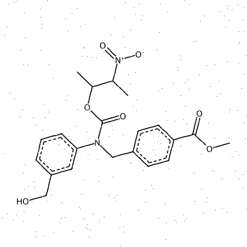 COC(=O)c1ccc(CN(C(=O)OC(C)C(C)[N+](=O)[O-])c2cccc(CO)c2)cc1